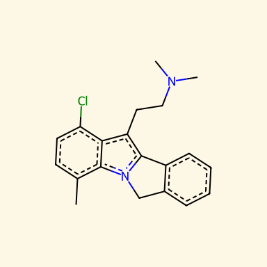 Cc1ccc(Cl)c2c(CCN(C)C)c3n(c12)Cc1ccccc1-3